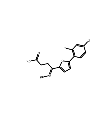 O=C(O)CCC(=NO)c1ccc(-c2ccc(Cl)cc2F)s1